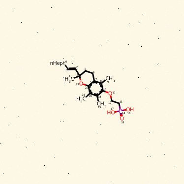 CCCCCCC/C=C/C1(C)CCc2c(C)c(OCCP(=O)(O)O)c(C)c(C)c2O1